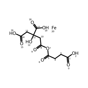 O=C(O)CCC(=O)OC(=O)CC(O)(CC(=O)O)C(=O)O.[Fe]